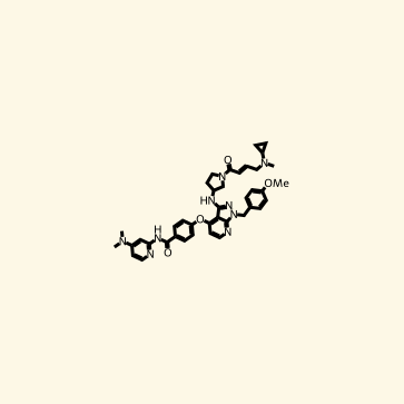 COc1ccc(Cn2nc(NC3CCN(C(=O)/C=C/CN(C)C4CC4)C3)c3c(Oc4ccc(C(=O)Nc5cc(N(C)C)ccn5)cc4)ccnc32)cc1